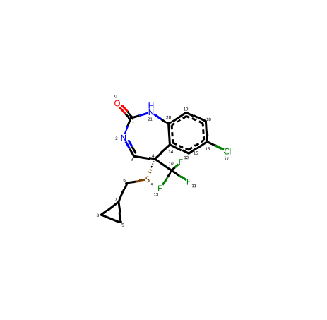 O=C1N=C[C@](SCC2CC2)(C(F)(F)F)c2cc(Cl)ccc2N1